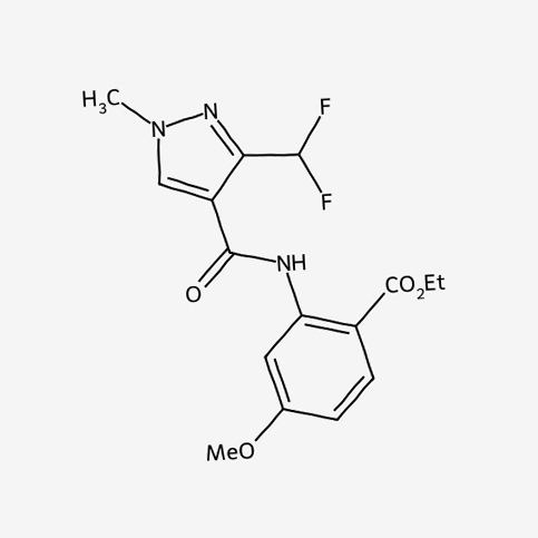 CCOC(=O)c1ccc(OC)cc1NC(=O)c1cn(C)nc1C(F)F